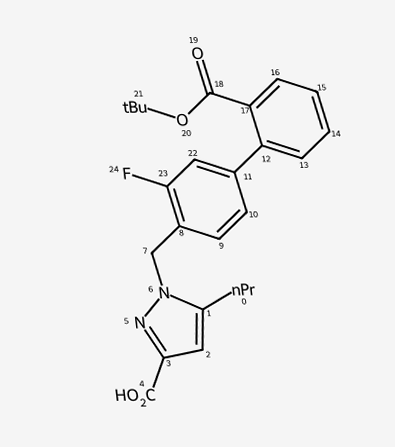 CCCc1cc(C(=O)O)nn1Cc1ccc(-c2ccccc2C(=O)OC(C)(C)C)cc1F